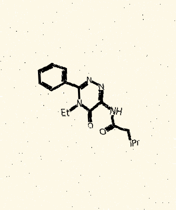 CCn1c(-c2ccccc2)nnc(NC(=O)CC(C)C)c1=O